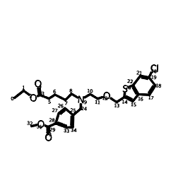 CCOC(=O)CCCCN(CCOCc1cc2ccc(Cl)cc2s1)Cc1ccc(C(=O)OC)cc1